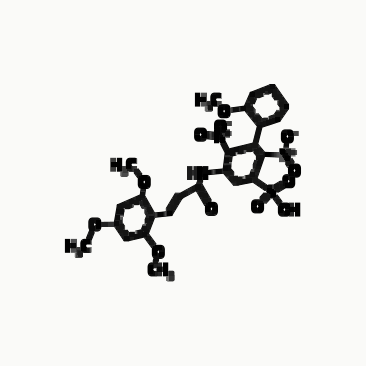 COc1cc(OC)c(C=CC(=O)Nc2cc(S(=O)(=O)O)c([N+](=O)[O-])c(-c3ccccc3OC)c2[N+](=O)[O-])c(OC)c1